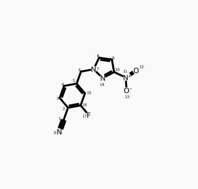 N#Cc1ccc(Cn2ccc([N+](=O)[O-])n2)cc1F